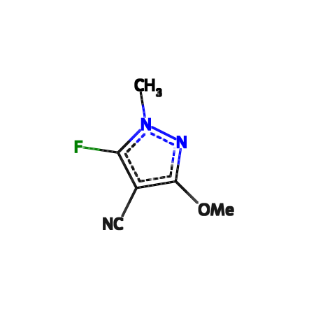 COc1nn(C)c(F)c1C#N